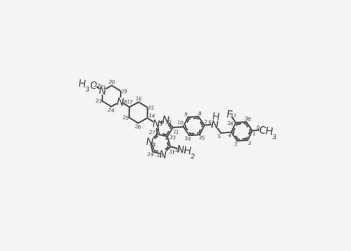 Cc1ccc(CNc2ccc(-c3nn(C4CCC(N5CCN(C)CC5)CC4)c4ncnc(N)c34)cc2)c(F)c1